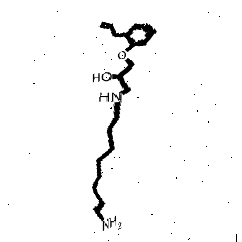 C=CCc1ccccc1OCC(O)CNCCCCCCCCN